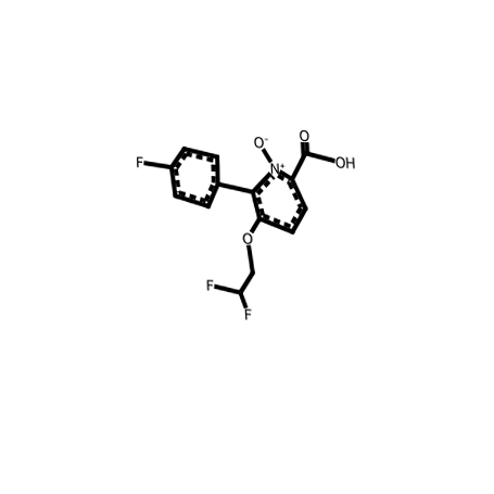 O=C(O)c1ccc(OCC(F)F)c(-c2ccc(F)cc2)[n+]1[O-]